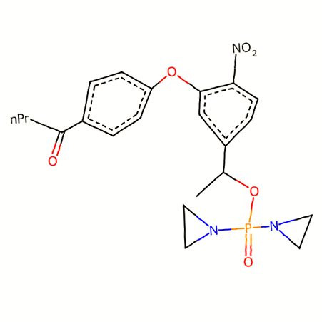 CCCC(=O)c1ccc(Oc2cc(C(C)OP(=O)(N3CC3)N3CC3)ccc2[N+](=O)[O-])cc1